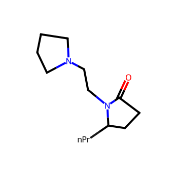 CCCC1CCC(=O)N1CCN1CCCC1